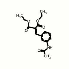 CCOC(=O)C(=Cc1cc[c]c(NC(C)=O)c1)C(=O)OCC